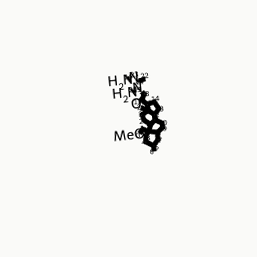 COCC12CCC(C)CC1CCC1C3CCC(C(=O)CN(N)/C(C)=N\N)C3(C)CCC12